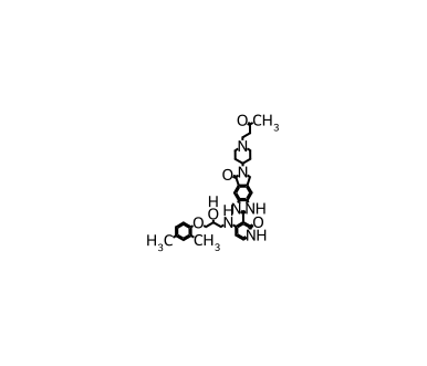 CC(=O)CCN1CCC(N2Cc3cc4[nH]c(-c5c(NCC(O)COc6ccc(C)cc6C)cc[nH]c5=O)nc4cc3C2=O)CC1